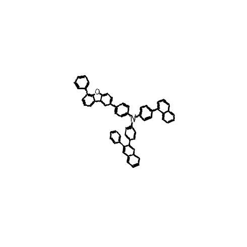 c1ccc(-c2cc3ccccc3cc2-c2ccc(N(c3ccc(-c4ccc5oc6c(-c7ccccc7)cccc6c5c4)cc3)c3ccc(-c4cccc5ccccc45)cc3)cc2)cc1